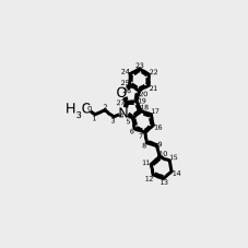 CCCCn1c2cc(/C=C/C3=CC=CCC3)ccc2c2c3ccccc3oc21